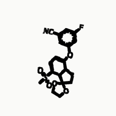 CS(=O)(=O)C1=CC=C(Oc2cc(F)cc(C#N)c2)C2CCC3(OCCO3)C12